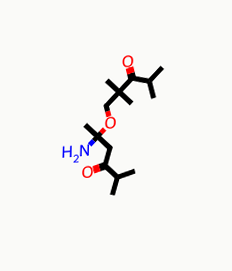 CC(C)C(=O)CC(C)(N)OCC(C)(C)C(=O)C(C)C